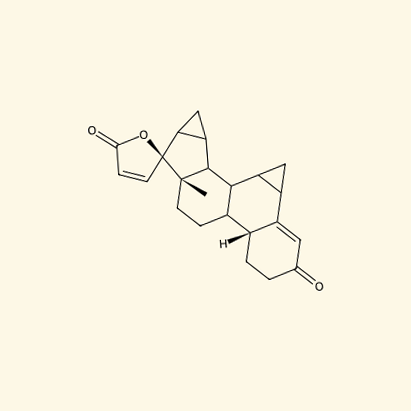 C[C@]12CCC3C(C4CC4C4=CC(=O)CC[C@@H]43)C1C1CC1[C@@]21C=CC(=O)O1